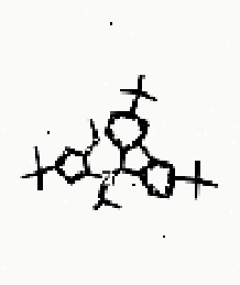 CCC1C=C(C(C)(C)C)C=[C]1[Zr](=[C](C)C)[CH]1c2ccc(C(C)(C)C)cc2-c2cc(C(C)(C)C)ccc21